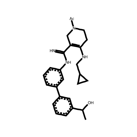 CC(=O)N1CCC(NCC2CC2)=C(C(=N)Nc2cccc(-c3cccc(C(C)O)c3)c2)C1